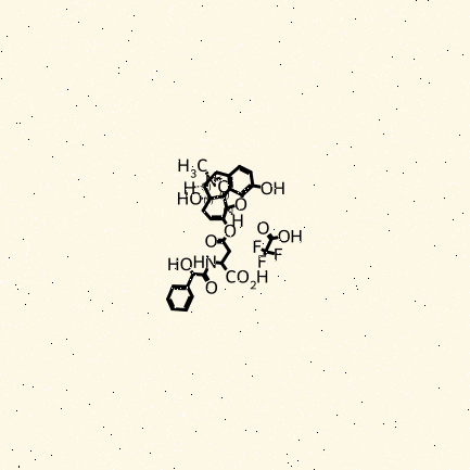 CN1CC[C@]23c4c5ccc(O)c4O[C@H]2C(OC(=O)CC(NC(=O)C(O)c2ccccc2)C(=O)O)=CC[C@@]3(O)[C@H]1C5.O=C(O)C(F)(F)F